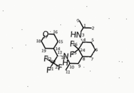 CC(C)N[C@@H]1CCCC(CC(C)N[C@@H](C2CCOCC2)C(F)(F)F)C1(F)F